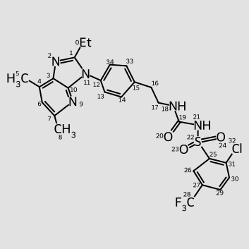 CCc1nc2c(C)cc(C)nc2n1-c1ccc(CCNC(=O)NS(=O)(=O)c2cc(C(F)(F)F)ccc2Cl)cc1